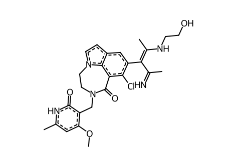 COc1cc(C)[nH]c(=O)c1CN1CCn2ccc3cc(/C(C(C)=N)=C(\C)NCCO)c(Cl)c(c32)C1=O